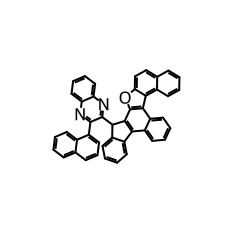 c1ccc2c(c1)-c1c(c3oc4ccc5ccccc5c4c3c3ccccc13)C2c1nc2ccccc2nc1-c1cccc2ccccc12